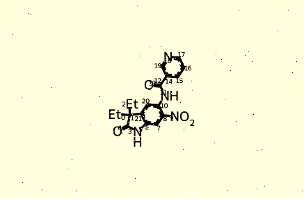 CCC1(CC)C(=O)Nc2cc([N+](=O)[O-])c(NC(=O)c3cccnc3)cc21